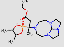 CCOC(=O)CC(C)(N1CCN2CCN3CCN(CC1)C32)P1(=O)OC(C)C(C)O1